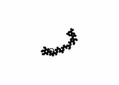 CCC(CC(C)C(C)C(C)CC(C)C(C)CC(C)C(C)CC(C)C(C)C(C)C(C)C(=O)C1C(C)C(CC)C(CC)C(CC)C1C)CC(C)C1CC(C2C(C)CC3C(C(C)C)CC(C)CC32)C(CC)C1CC